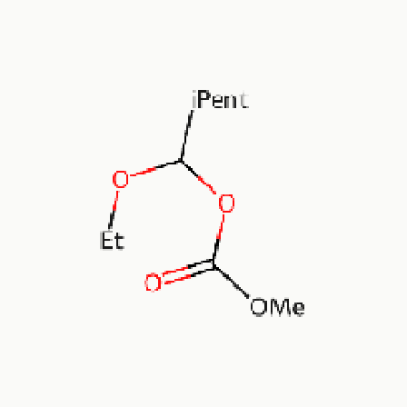 CCCC(C)C(OCC)OC(=O)OC